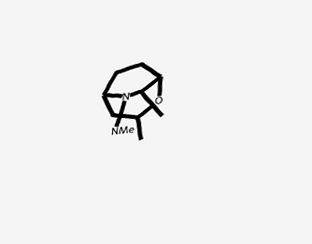 CNN1C2CCC(OC(C)C2)C1C